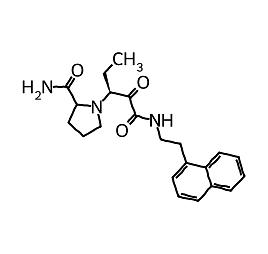 CC[C@@H](C(=O)C(=O)NCCc1cccc2ccccc12)N1CCCC1C(N)=O